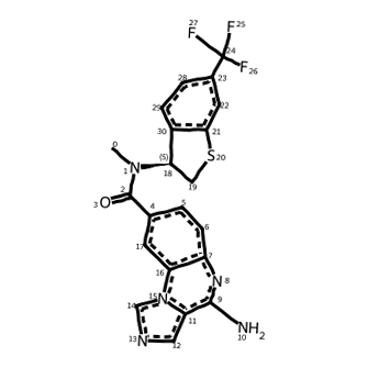 CN(C(=O)c1ccc2nc(N)c3cncn3c2c1)[C@@H]1CSc2cc(C(F)(F)F)ccc21